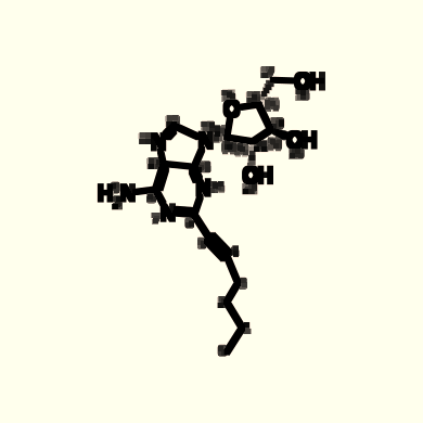 CCCCC#Cc1nc(N)c2ncn([C@@H]3O[C@H](CO)[C@@H](O)[C@@H]3O)c2n1